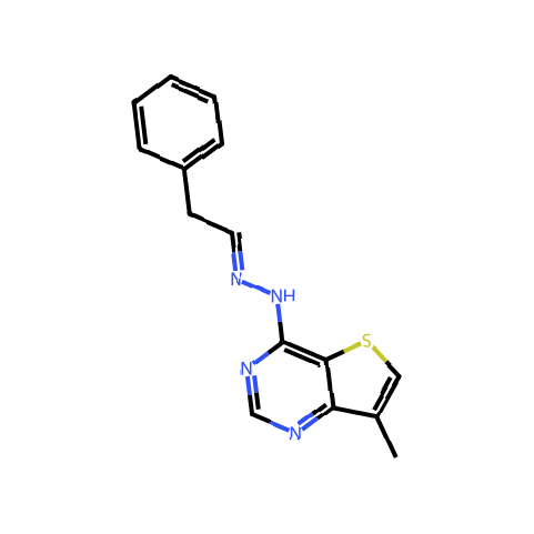 Cc1csc2c(NN=CCc3ccccc3)ncnc12